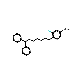 CCCCCc1ccc(CCCCCCC(c2ccccc2)c2ccccc2)c(F)c1